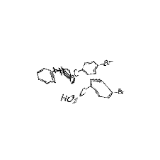 O=C(O)c1ccc(Br)cc1.O=C(O)c1ccc(Br)cc1.O=Ic1ccccc1